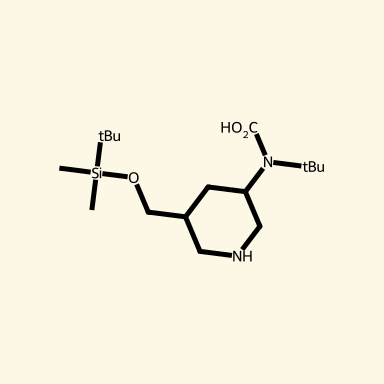 CC(C)(C)N(C(=O)O)C1CNCC(CO[Si](C)(C)C(C)(C)C)C1